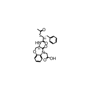 CC(=O)S[C@H](Cc1ccccc1)C(=O)N[C@@H]1COc2ccccc2N(CC(=O)O)C1=O